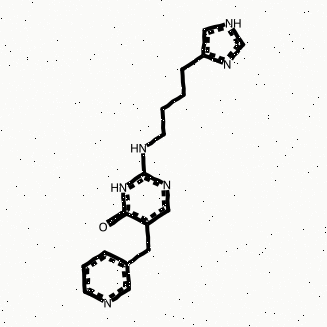 O=c1[nH]c(NCCCCc2c[nH]cn2)ncc1Cc1cccnc1